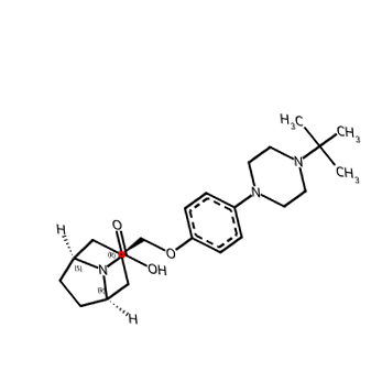 CC(C)(C)N1CCN(c2ccc(OC[C@H]3C[C@H]4CC[C@@H](C3)N4C(=O)O)cc2)CC1